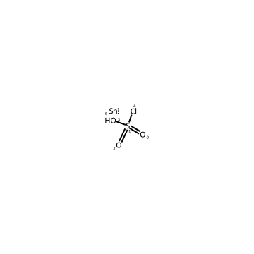 O=S(=O)(O)Cl.[Sn]